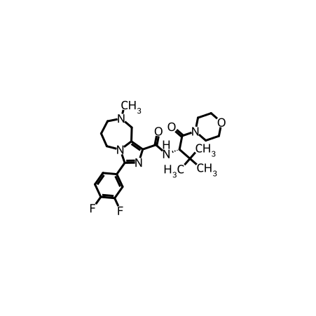 CN1CCCn2c(-c3ccc(F)c(F)c3)nc(C(=O)N[C@H](C(=O)N3CCOCC3)C(C)(C)C)c2C1